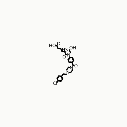 O=C(O)CCCC(S)C(=O)N(CCO)c1ccc(C(=O)N2CCN(CCc3ccc(Cl)cc3)CC2)cc1